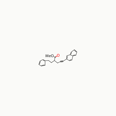 COC(=O)C(CC#Cc1ccc2ccccc2c1)CCc1ccccc1